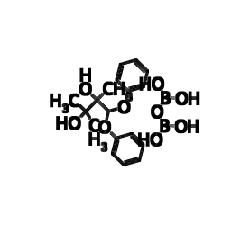 CC(C)(O)C(C)(O)C(Oc1ccccc1)Oc1ccccc1.OB(O)OB(O)O